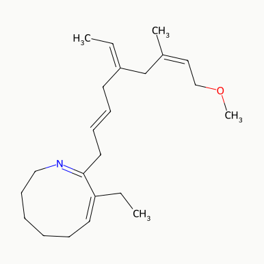 C/C=C(\CC=CCC1=N/CCCCC/C=C\1CC)C/C(C)=C\COC